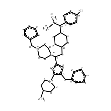 CC1CCN(c2oc(C(CC3CCC(C(c4ccc(Cl)cc4)N(C)C)CC3)N3CCN(Cc4ccccc4)CC3)nc2Cc2ccccc2)CC1